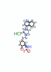 Cl.O=C1COc2ccc(CCN3CCN(c4ccnc5ccccc45)CC3)cc2N1